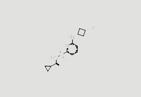 O=C(NS(=O)(=O)c1cccc(N[C@H]2C[C@@H](O)C2)n1)C1CC1